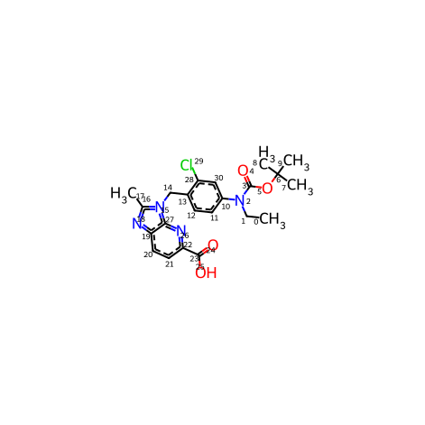 CCN(C(=O)OC(C)(C)C)c1ccc(Cn2c(C)nc3ccc(C(=O)O)nc32)c(Cl)c1